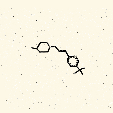 CC1CCN(C/C=C/c2ccc(C(C)(C)C)cn2)CC1